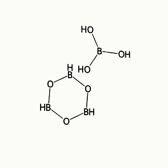 B1OBOBO1.OB(O)O